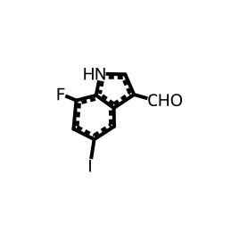 O=Cc1c[nH]c2c(F)cc(I)cc12